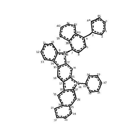 c1ccc(-c2ccc(-n3c4ccccc4c4cc5c6cc7ccccc7cc6n(-c6ccccc6)c5cc43)c3ccccc23)cc1